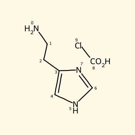 NCCc1c[nH]cn1.O=C(O)Cl